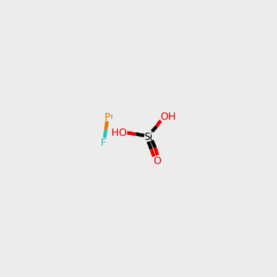 F[P].O=[Si](O)O